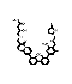 COC(=O)C[C@H](O)CNCc1cnc2cc(-c3cccc(-c4cccc(-c5cc(F)c(CNC[C@@H]6CCC(=O)N6)c(OC)n5)c4Cl)c3Cl)ccn2c1=O